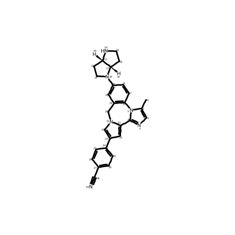 Cc1cnc2n1-c1ccc(N3CC[C@@H]4NCC[C@@H]43)cc1Cn1cc(-c3ccc(C#N)cc3)cc1-2